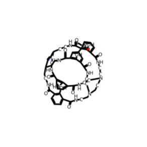 O=C1NCCC2/C=C/C3CCNC(=O)c4cccc(c4O)C(=O)NCCN(CCNC(=O)c4cc(S(=O)(=O)Cl)cc(c4O)C(=O)NCC3)CCN(CCNC(=O)c3cccc1c3O)CCNC(=O)c1cccc(c1O)C(=O)NCC2